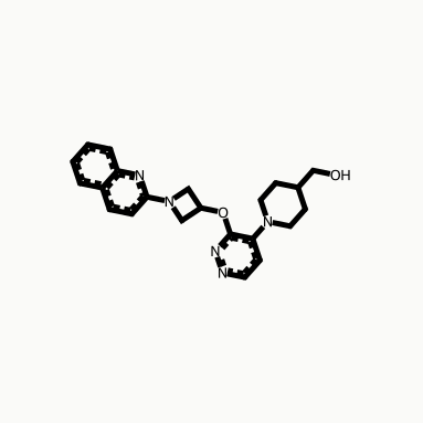 OCC1CCN(c2ccnnc2OC2CN(c3ccc4ccccc4n3)C2)CC1